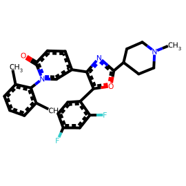 Cc1cccc(C)c1-n1cc(-c2nc(C3CCN(C)CC3)oc2-c2ccc(F)cc2F)ccc1=O